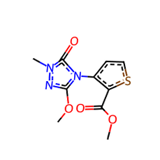 COC(=O)c1sccc1-n1c(OC)nn(C)c1=O